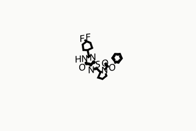 O=C(Oc1ccccc1)N1CCCC1c1nc2c(=O)[nH]c(C3CCC(F)(F)CC3)nc2s1